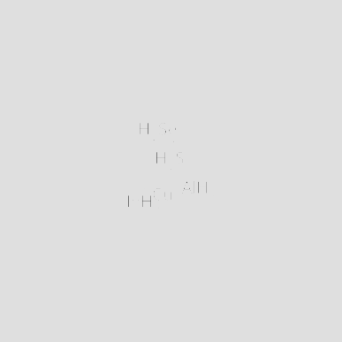 S.[AlH3].[Cu].[InH3].[SeH2]